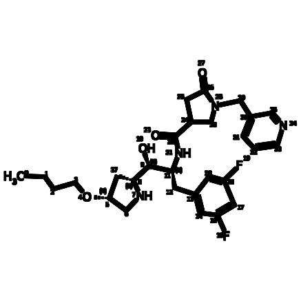 CCCCO[C@H]1CN[C@@H]([C@@H](O)[C@H](Cc2cc(F)cc(F)c2)NC(=O)C2CC(=O)N(Cc3cccnc3)C2)C1